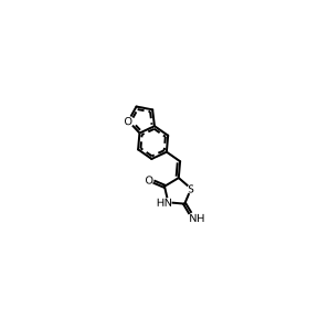 N=C1NC(=O)/C(=C\c2ccc3occc3c2)S1